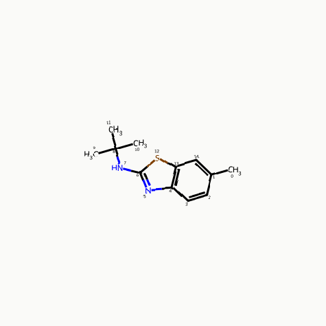 Cc1ccc2nc(NC(C)(C)C)sc2c1